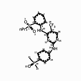 CCCS(=O)(=O)c1ccccc1Nc1nc(Nc2ccc(P(C)(C)=O)cc2)ncc1C(F)(F)F